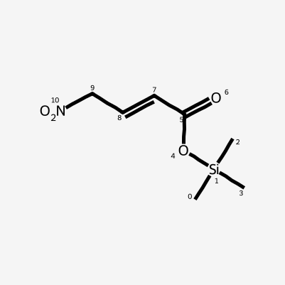 C[Si](C)(C)OC(=O)C=CC[N+](=O)[O-]